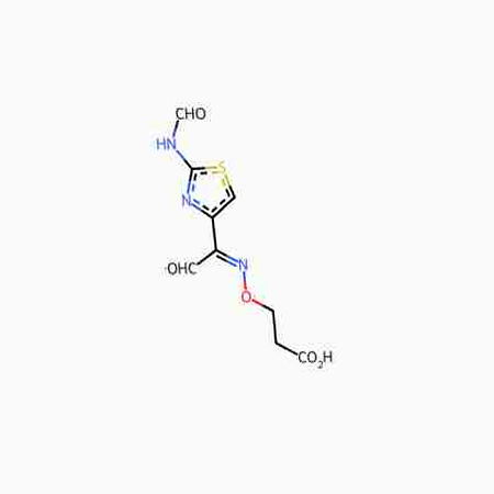 O=[C]C(=NOCCC(=O)O)c1csc(NC=O)n1